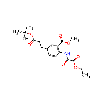 CCOC(=O)C(=O)Nc1ccc(CCC(=O)OC(C)(C)C)cc1C(=O)OC